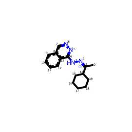 C/C(=N/Nc1nncc2ccccc12)C1CCCCC1